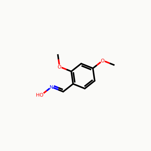 COc1ccc(/C=N/O)c(OC)c1